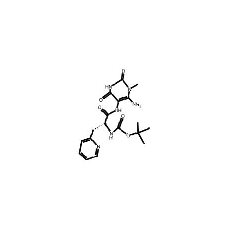 Cn1c(N)c(NC(=O)[C@@H](Cc2ccccn2)NC(=O)OC(C)(C)C)c(=O)[nH]c1=O